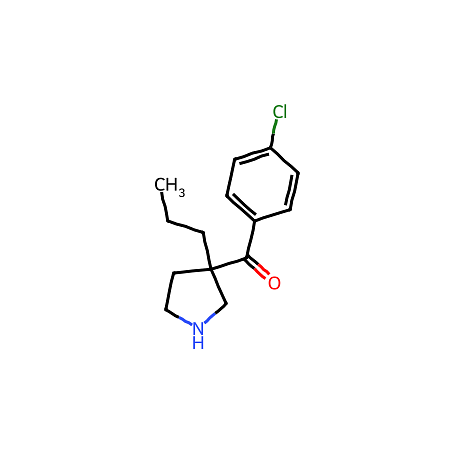 CCCC1(C(=O)c2ccc(Cl)cc2)CCNC1